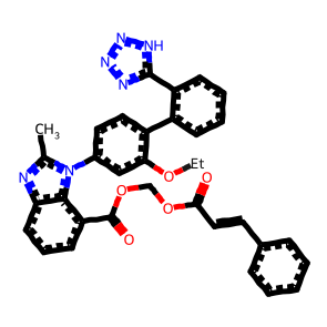 CCOc1cc(-n2c(C)nc3cccc(C(=O)OCOC(=O)C=Cc4ccccc4)c32)ccc1-c1ccccc1-c1nnn[nH]1